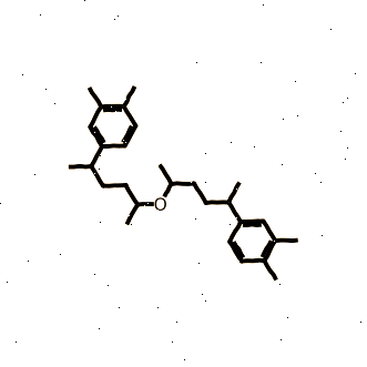 Cc1ccc(C(C)CCC(C)OC(C)CCC(C)c2ccc(C)c(C)c2)cc1C